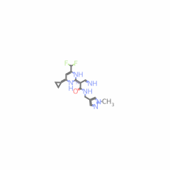 Cn1cc(CNC(=O)/C(C=N)=C2/NC(C(F)F)=CC(=C3CC3)N2)cn1